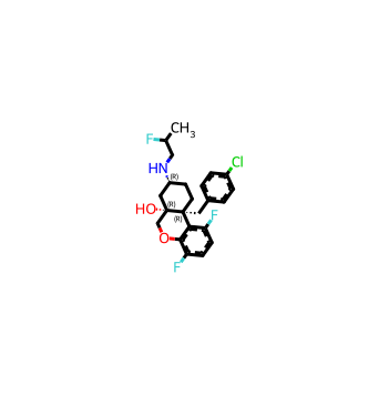 CC(F)CN[C@@H]1CC[C@@]2(Cc3ccc(Cl)cc3)c3c(F)ccc(F)c3OC[C@@]2(O)C1